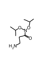 CC(C)ON(OC(C)C)C(=O)CCN